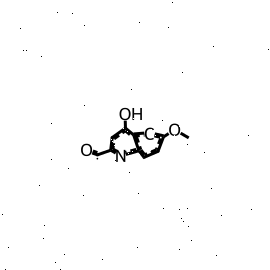 COc1ccc2nc([C]=O)cc(O)c2c1